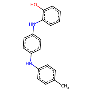 Cc1ccc(Nc2ccc(Nc3ccccc3O)cc2)cc1